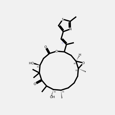 C/C(=C\c1csc(C)n1)C1C[C@H]2O[C@@]2(C)CCC[C@H](C)[C@H](O)C(C)C(=O)C(C)(C)[C@@H](O)CC(=O)O1